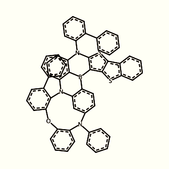 c1ccc(-c2ccccc2N2c3cccc4c3B(c3ccc5cc3N4c3c(cccc3-c3ccccc3)Oc3ccccc3N5c3ccccc3)c3c2sc2c3sc3ccccc32)cc1